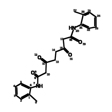 Cc1ccccc1NC(=O)CC(=O)CCC(=O)CC(=O)Nc1ccccc1C